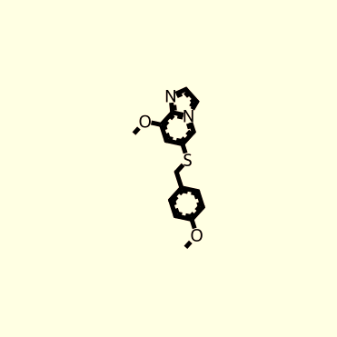 COc1ccc(CSc2cc(OC)c3nccn3c2)cc1